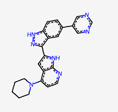 c1ncc(-c2ccc3[nH]nc(-c4cc5c(N6CCCCC6)ccnc5[nH]4)c3c2)cn1